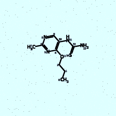 CCCOc1nc(C)ncc1NC(N)=S